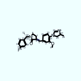 COc1cc(/C=C2\CCN([C@@H](C)c3ccc(F)cc3)C2=O)ccc1N1C=NC(C)C1